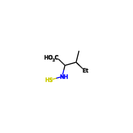 CCC(C)C(NS)C(=O)O